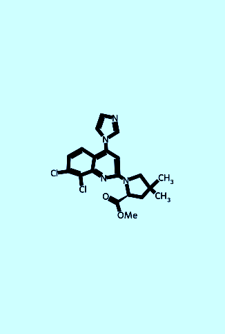 COC(=O)[C@@H]1CC(C)(C)CN1c1cc(-n2ccnc2)c2ccc(Cl)c(Cl)c2n1